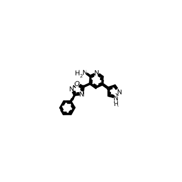 Nc1ncc(-c2cn[nH]c2)cc1-c1nc(-c2ccccc2)no1